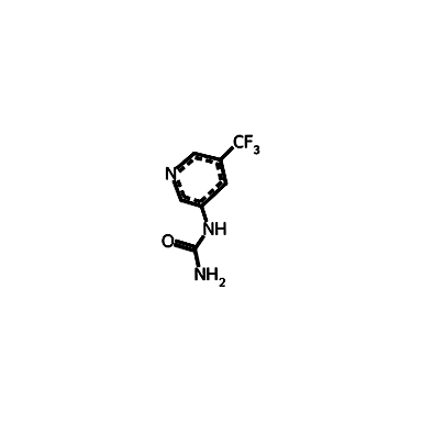 NC(=O)Nc1cncc(C(F)(F)F)c1